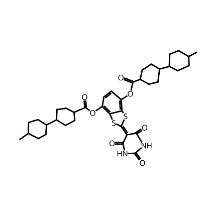 CC1CCC(C2CCC(C(=O)Oc3ccc(OC(=O)C4CCC(C5CCC(C)CC5)CC4)c4c3SC(=C3C(=O)NC(=O)NC3=O)S4)CC2)CC1